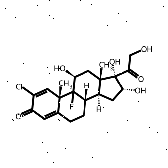 C[C@]12C=C(Cl)C(=O)C=C1CC[C@H]1[C@@H]3C[C@@H](O)[C@](O)(C(=O)CO)[C@@]3(C)C[C@H](O)C12F